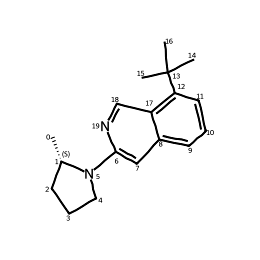 C[C@H]1CCCN1c1cc2cccc(C(C)(C)C)c2cn1